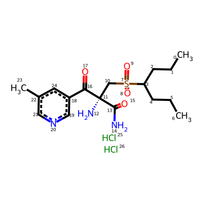 CCCC(CCC)S(=O)(=O)C[C@@](N)(C(N)=O)C(=O)c1cncc(C)c1.Cl.Cl